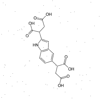 O=C(O)CC(C(=O)O)c1ccc2[nH]c(C(CC(=O)O)C(=O)O)cc2c1